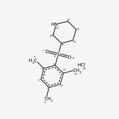 Cc1cc(C)c(S(=O)(=O)C2CCCNC2)c(C)c1.Cl